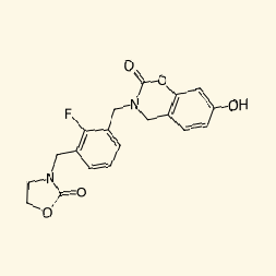 O=C1OCCN1Cc1cccc(CN2Cc3ccc(O)cc3OC2=O)c1F